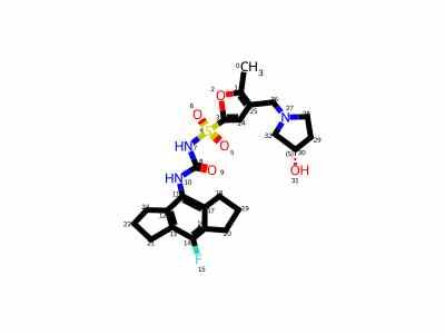 Cc1oc(S(=O)(=O)NC(=O)Nc2c3c(c(F)c4c2CCC4)CCC3)cc1CN1CC[C@H](O)C1